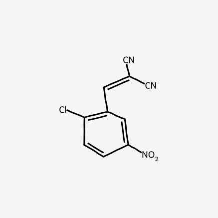 N#CC(C#N)=Cc1cc([N+](=O)[O-])ccc1Cl